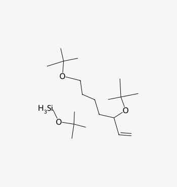 C=CC(CCCCOC(C)(C)C)OC(C)(C)C.CC(C)(C)O[SiH3]